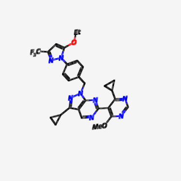 CCOc1cc(C(F)(F)F)nn1-c1ccc(Cn2nc(C3CC3)c3cnc(-c4c(OC)ncnc4C4CC4)nc32)cc1